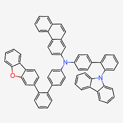 c1ccc(-c2ccc3c(c2)oc2ccccc23)c(-c2ccc(N(c3ccc(-c4ccccc4-n4c5ccccc5c5ccccc54)cc3)c3ccc4c(ccc5ccccc54)c3)cc2)c1